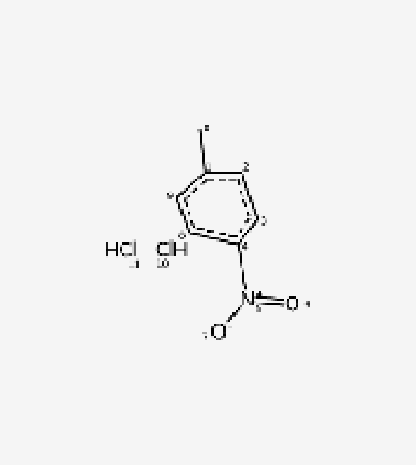 Cc1ccc([N+](=O)[O-])cc1.Cl.Cl